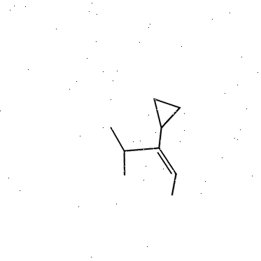 CC=C(C(C)C)C1CC1